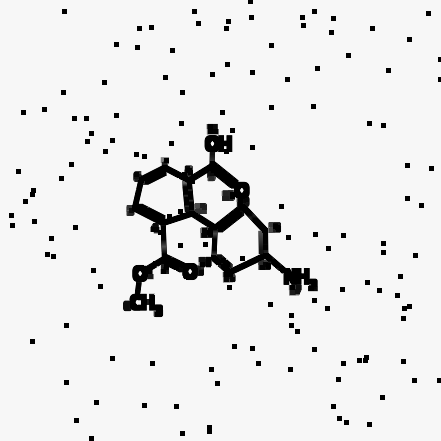 COC(=O)c1cccc(C(=O)O)c1-c1ccc(N)cc1